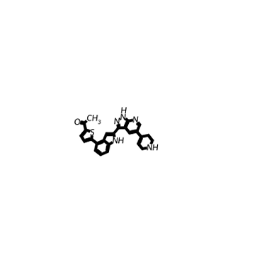 CC(=O)c1ccc(-c2cccc3[nH]c(-c4n[nH]c5ncc(C6=CCNCC6)cc45)cc23)s1